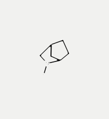 CC(=O)N1CC2CCC1C2